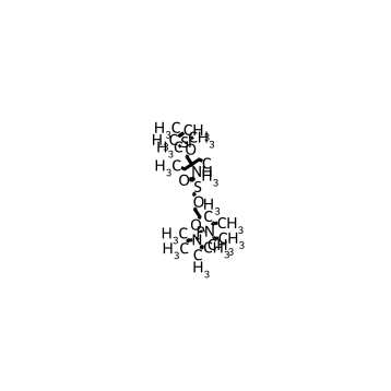 CCC(CC)(CO[Si](C)(C)C(C)(C)C)NC(=O)SCOCCOP(N(C(C)C)C(C)C)N(C(C)C)C(C)C